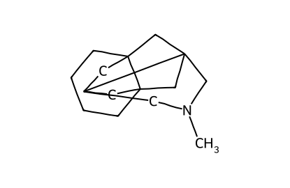 CN1CC23CC45CCCCC4(C2)CC3(C1)C5